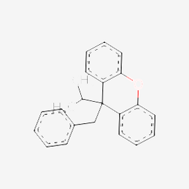 CC(C)C1(Cc2ccccc2)c2ccccc2Oc2ccccc21